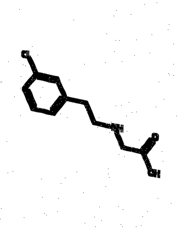 O=C(O)CNCCc1cccc(Cl)c1